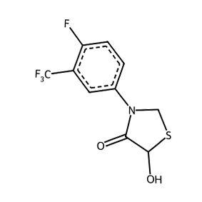 O=C1C(O)SCN1c1ccc(F)c(C(F)(F)F)c1